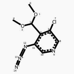 COC(OC)c1c(Cl)cncc1N=[N+]=[N-]